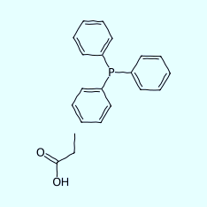 CCC(=O)O.c1ccc(P(c2ccccc2)c2ccccc2)cc1